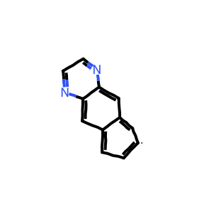 [c]1ccc2cc3nccnc3cc2c1